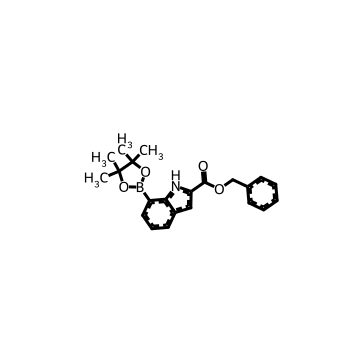 CC1(C)OB(c2cccc3cc(C(=O)OCc4ccccc4)[nH]c23)OC1(C)C